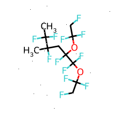 CC(F)(F)C(C)(F)CC(F)(OC(F)(F)CF)C(F)(F)OC(F)(F)CF